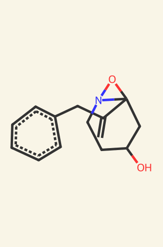 C=C(Cc1ccccc1)C12CC(O)CCN1O2